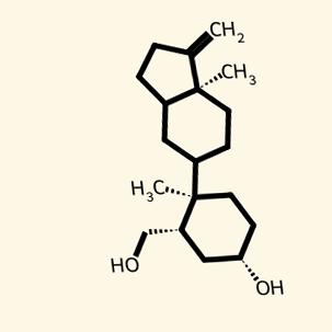 C=C1CCC2CC([C@@]3(C)CC[C@H](O)C[C@@H]3CO)CC[C@]12C